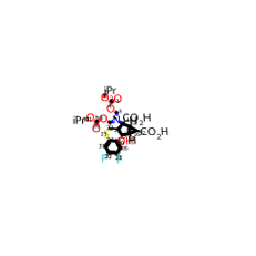 CC(C)OC(=O)OCN(COC(=O)OC(C)C)[C@]1(C(=O)O)[C@@H]2[C@@H](C(=O)O)[C@@H]2[C@H](O)[C@H]1CSc1ccc(F)c(F)c1